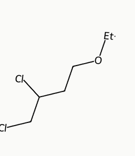 C[CH]OCCC(Cl)CCl